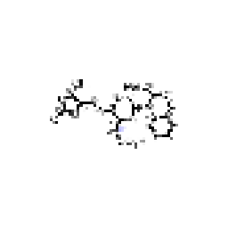 COC(=O)[C@H](c1ccccc1Cl)N1CCC(SCc2oc(=O)oc2C)/C(=C/C(=O)O)C1